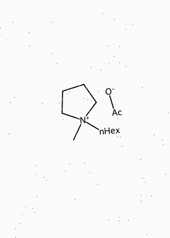 CC(=O)[O-].CCCCCC[N+]1(C)CCCC1